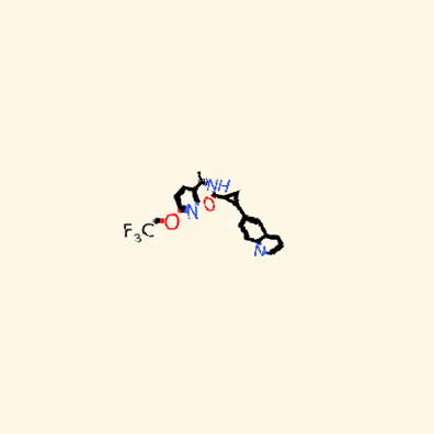 C[C@@H](NC(=O)C1CC1c1ccc2ncccc2c1)c1ccc(OCC(F)(F)F)nc1